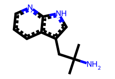 CC(C)(N)Cc1c[nH]c2ncccc12